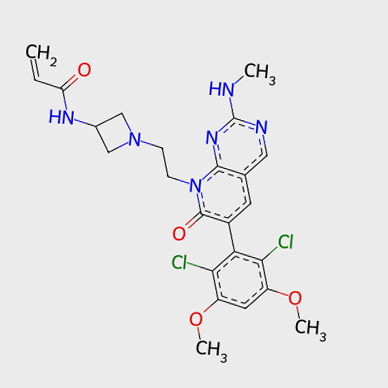 C=CC(=O)NC1CN(CCn2c(=O)c(-c3c(Cl)c(OC)cc(OC)c3Cl)cc3cnc(NC)nc32)C1